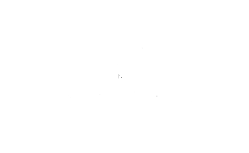 c1ccc(-c2cccc(N(c3ccc(-c4cc5ccc6ccccc6c5c5ccccc45)cc3)c3ccc4cc5oc6ccccc6c5cc4c3)c2)cc1